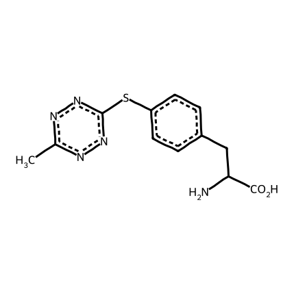 Cc1nnc(Sc2ccc(CC(N)C(=O)O)cc2)nn1